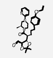 CCOc1ccc(CCC[C@H](C(=O)N2CCN(c3ccccn3)C[C@@H]2C)[C@@H]2OC(C)(C)OC2C=O)cc1